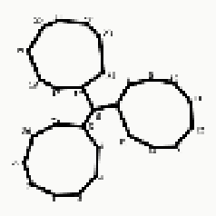 C1CCCCC([C](C2CCCCCCCC2)C2CCCCCCCC2)CCC1